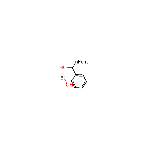 CCCCCC(O)c1ccccc1.CCO